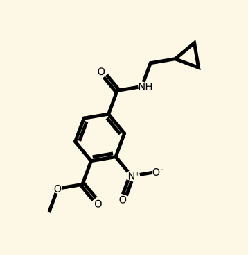 COC(=O)c1ccc(C(=O)NCC2CC2)cc1[N+](=O)[O-]